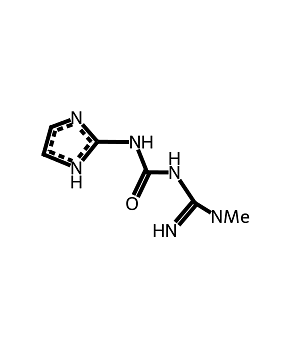 CNC(=N)NC(=O)Nc1ncc[nH]1